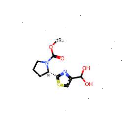 CC(C)(C)OC(=O)N1CCC[C@H]1c1nc(C(O)O)cs1